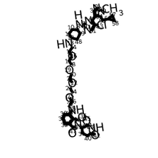 Cn1ncc(-c2nc(NC3CCC(NCCOCCOCCOCCOCCNc4cccc5c4C(=O)N(C4CCC(=O)NC4=O)C5=O)CC3)ncc2Cl)c1CC1CC1